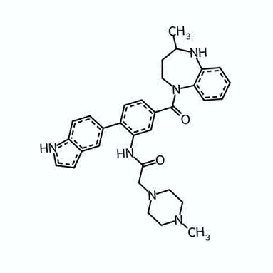 CC1CCN(C(=O)c2ccc(-c3ccc4[nH]ccc4c3)c(NC(=O)CN3CCN(C)CC3)c2)c2ccccc2N1